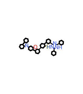 c1ccc(C2N=C(c3cccc4c3sc3cc(-c5cccc6c5oc5cc(-n7c8ccccc8c8ccccc87)ccc56)ccc34)NC(c3ccccc3)N2)cc1